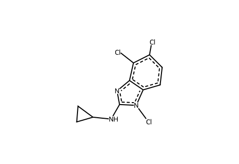 Clc1ccc2c(nc(NC3CC3)n2Cl)c1Cl